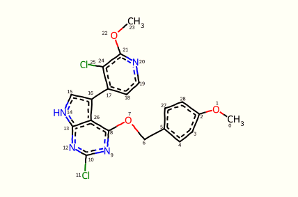 COc1ccc(COc2nc(Cl)nc3[nH]cc(-c4ccnc(OC)c4Cl)c23)cc1